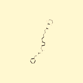 O=C(CCCC=Cc1ccc(C[C@H](NC(=O)OCc2ccccc2)C(=O)O)s1)NC1=NCCCN1